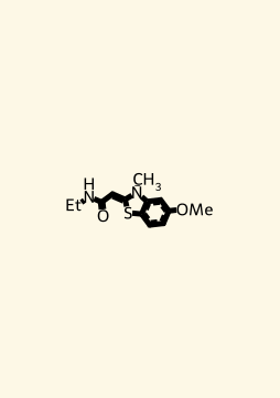 CCNC(=O)/C=C1\Sc2ccc(OC)cc2N1C